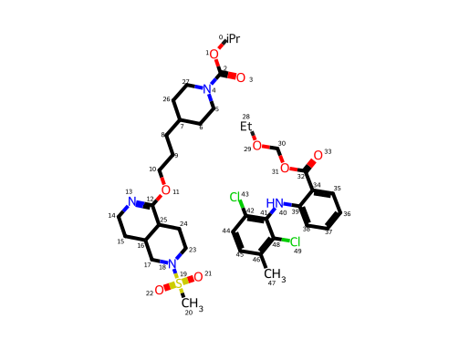 CC(C)OC(=O)N1CCC(CCCOC2=NCCC3CN(S(C)(=O)=O)CCC23)CC1.CCOCOC(=O)c1ccccc1Nc1c(Cl)ccc(C)c1Cl